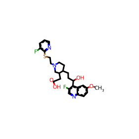 COc1ccc2ncc(F)c(C(O)CCC3CCN(CCSc4ncccc4F)CC3CC(=O)O)c2c1